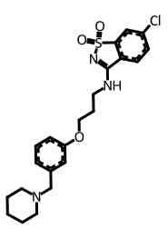 O=S1(=O)N=C(NCCCOc2cccc(CN3CCCCC3)c2)c2ccc(Cl)cc21